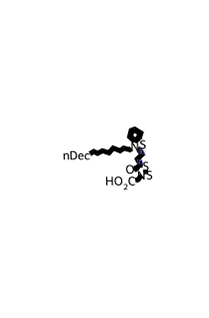 CCCCCCCCCCCCCCCCCCN1/C(=C\C=C2/SC(=S)N(CC(=O)O)C2=O)Sc2ccccc21